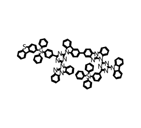 c1ccc([Si](c2ccccc2)(c2ccccc2)c2cccc(-c3nc(-n4c5ccccc5c5ccccc54)nc(-n4c5ccccc5n5c6ccc(-c7ccc8c(c7)c7ccccc7n8-c7nc(-c8ccc([Si](c9ccccc9)(c9ccccc9)c9ccc%10sc%11ccccc%11c%10c9)cc8)nc(-n8c9ccccc9n9c%10ccccc%10nc89)n7)cc6nc45)n3)c2)cc1